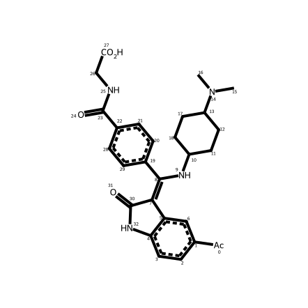 CC(=O)c1ccc2c(c1)C(=C(NC1CCC(N(C)C)CC1)c1ccc(C(=O)NCC(=O)O)cc1)C(=O)N2